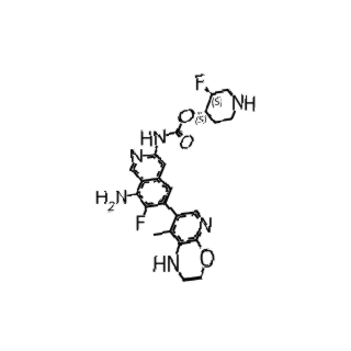 Cc1c(-c2cc3cc(NC(=O)O[C@H]4CCNC[C@@H]4F)ncc3c(N)c2F)cnc2c1NCCO2